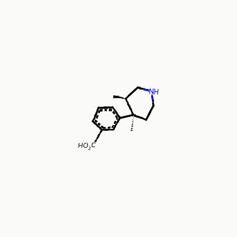 C[C@H]1CNCC[C@@]1(C)c1cccc(C(=O)O)c1